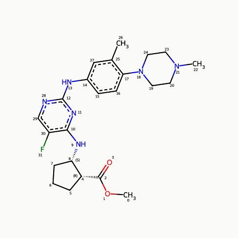 COC(=O)[C@@H]1CCC[C@@H]1Nc1nc(Nc2ccc(N3CCN(C)CC3)c(C)c2)ncc1F